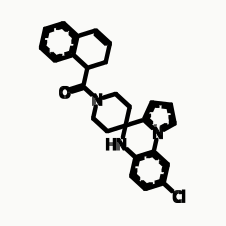 O=C(C1CC=Cc2ccccc21)N1CCC2(CC1)Nc1ccc(Cl)cc1-n1cccc12